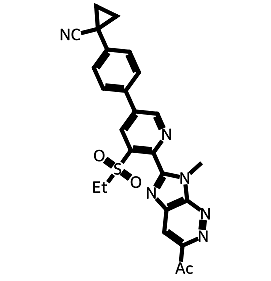 CCS(=O)(=O)c1cc(-c2ccc(C3(C#N)CC3)cc2)cnc1-c1nc2cc(C(C)=O)nnc2n1C